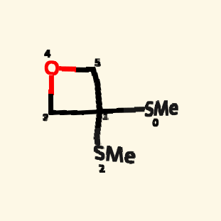 CSC1(SC)COC1